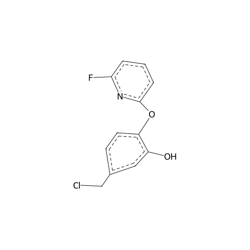 Oc1cc(CCl)ccc1Oc1cccc(F)n1